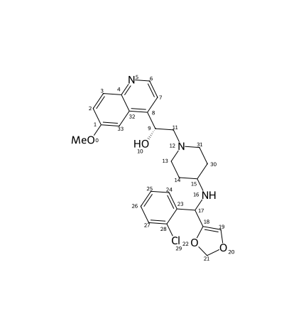 COc1ccc2nccc([C@@H](O)CN3CCC(NC(C4=COCO4)c4ccccc4Cl)CC3)c2c1